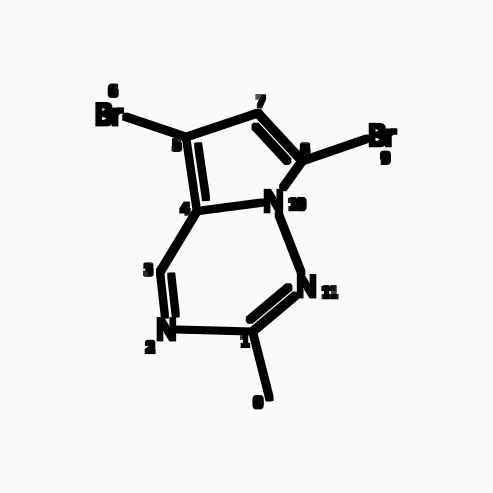 Cc1ncc2c(Br)cc(Br)n2n1